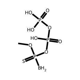 BP(=S)(OC)OP(=O)(O)OP(=O)(O)O